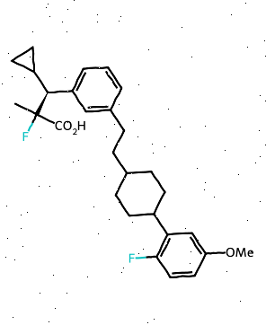 COc1ccc(F)c(C2CCC(CCc3cccc([C@H](C4CC4)C(C)(F)C(=O)O)c3)CC2)c1